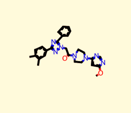 COc1cc(N2CCN(C(=O)Cn3nc(-c4ccc(C)c(C)c4)nc3-c3ccccc3)CC2)ncn1